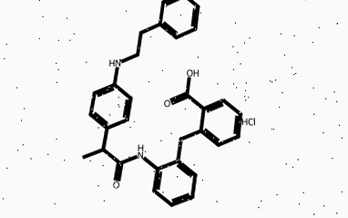 CC(C(=O)Nc1ccccc1Cc1ccccc1C(=O)O)c1ccc(NCCc2ccccc2)cc1.Cl